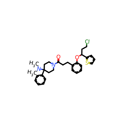 CN(C)C1(c2ccccc2)CCN(C(=O)CCc2ccccc2OC(CCCl)c2cccs2)CC1